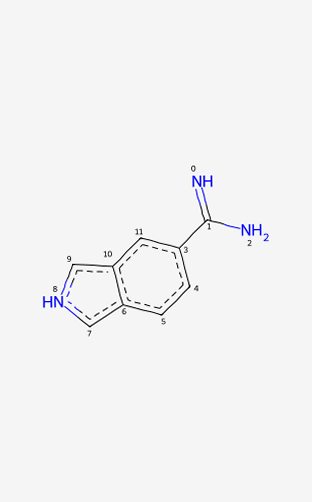 N=C(N)c1ccc2c[nH]cc2c1